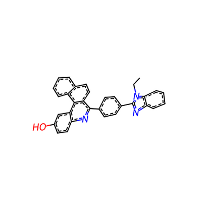 CCn1c(-c2ccc(-c3nc4ccc(O)cc4c4c3ccc3ccccc34)cc2)nc2ccccc21